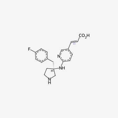 O=C(O)/C=C/c1ccc(N[C@]2(Cc3ccc(F)cc3)CCNC2)nc1